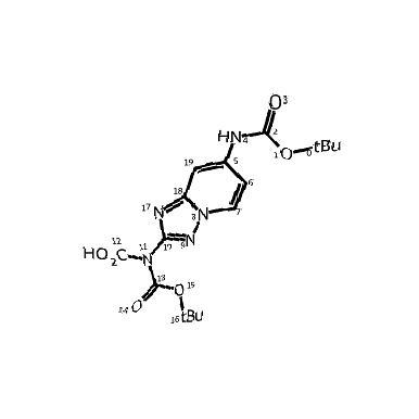 CC(C)(C)OC(=O)Nc1ccn2nc(N(C(=O)O)C(=O)OC(C)(C)C)nc2c1